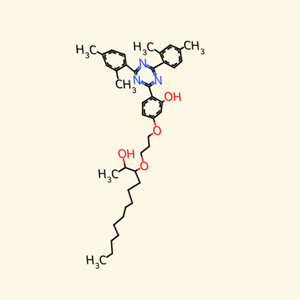 CCCCCCCCCCC(OCCCOc1ccc(-c2nc(-c3ccc(C)cc3C)nc(-c3ccc(C)cc3C)n2)c(O)c1)C(C)O